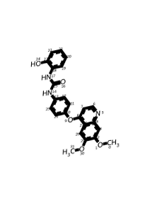 COc1cc2nccc(Oc3ccc(NC(=O)Nc4ccccc4O)cc3)c2cc1OC